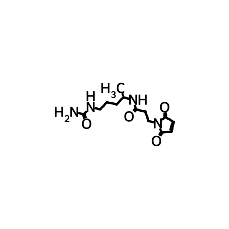 C[C@H](CCCNC(N)=O)NC(=O)CCN1C(=O)C=CC1=O